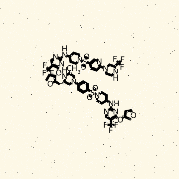 C[C@H]1CN(c2ccc(S(=O)(=O)N3CCC(Nc4ncc(C(F)(F)F)c(O[C@H]5CCOC5)n4)CC3)cc2)C[C@H](CC2OCC[C@@H]2Oc2nc(NC3CCN(S(=O)(=O)c4ccc(N5CCNC(C(F)(F)F)C5)nc4)CC3)ncc2C(F)(F)F)N1